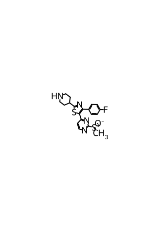 C[S+]([O-])c1nccc(-c2sc(C3CCNCC3)nc2-c2ccc(F)cc2)n1